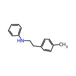 Cc1ccc(CCNc2ccccc2)cc1